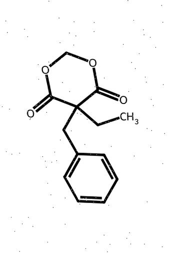 CCC1(Cc2ccccc2)C(=O)OCOC1=O